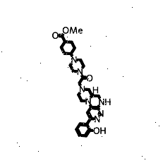 COC(=O)C1CCC(N2CCN(C(=O)CN3CCN4c5cc(-c6ccccc6O)nnc5NC[C@H]4C3)CC2)CC1